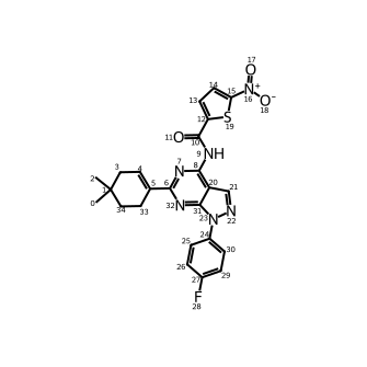 CC1(C)CC=C(c2nc(NC(=O)c3ccc([N+](=O)[O-])s3)c3cnn(-c4ccc(F)cc4)c3n2)CC1